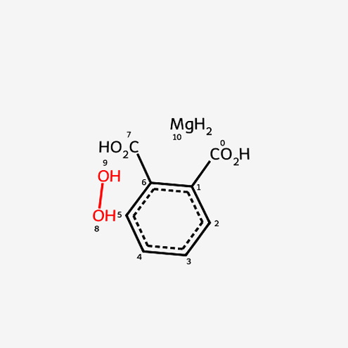 O=C(O)c1ccccc1C(=O)O.OO.[MgH2]